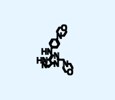 c1cc(N2CCOCC2)ccc1Nc1nc(CN2CCOCC2)nc2cn[nH]c12